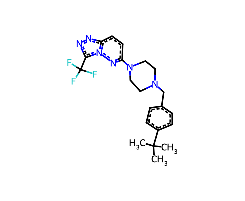 CC(C)(C)c1ccc(CN2CCN(c3ccc4nnc(C(F)(F)F)n4n3)CC2)cc1